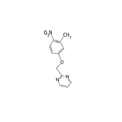 Cc1cc(OCc2ncccn2)ccc1[N+](=O)[O-]